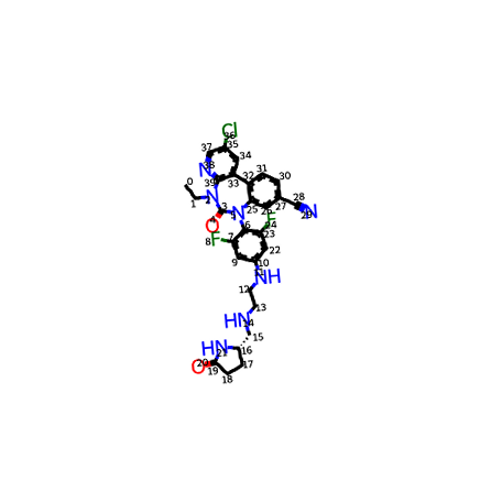 CCN1C(=O)N(c2c(F)cc(NCCNC[C@@H]3CCC(=O)N3)cc2F)c2cc(C#N)ccc2-c2cc(Cl)cnc21